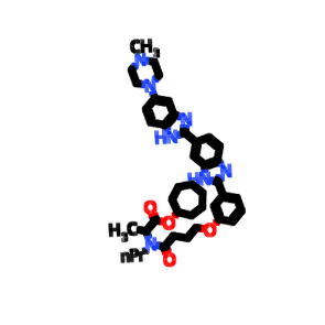 CCCN(C(=O)CCCOc1cccc(-c2nc3ccc(-c4nc5cc(N6CCN(C)CC6)ccc5[nH]4)cc3[nH]2)c1)C(C)C(=O)OC1CCCCCC1